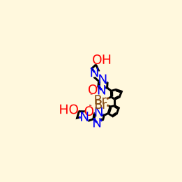 COc1nc(-c2cccc(-c3cccc(-c4cnc(CN5CC(O)C5)c(OC)n4)c3Br)c2Br)cnc1CN1CC(O)C1